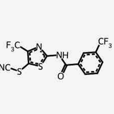 N#CSc1sc(NC(=O)c2cccc(C(F)(F)F)c2)nc1C(F)(F)F